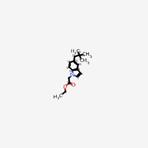 CCOC(=O)Cn1ccc2cc(CC(C)(C)C)ccc21